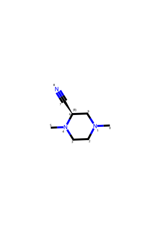 CN1CCN(C)[C@@H](C#N)C1